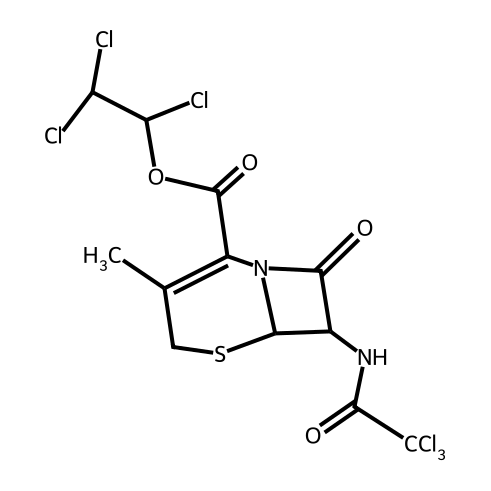 CC1=C(C(=O)OC(Cl)C(Cl)Cl)N2C(=O)C(NC(=O)C(Cl)(Cl)Cl)C2SC1